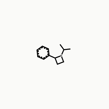 CC(C)N1CCC1c1ccccc1